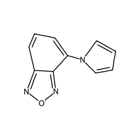 c1cc(-n2cccc2)c2nonc2c1